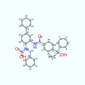 C[Si](O)(c1ccccc1)c1ccc(C(=O)Nc2cc(-c3ccccc3)ccc2N(Cc2ccccc2)C(=O)O)cc1